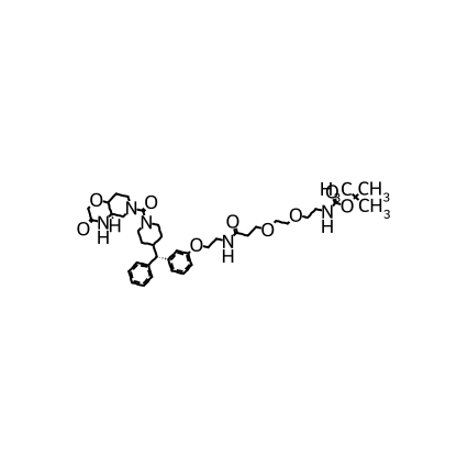 CC(C)(C)OC(=O)NCCOCCOCCC(=O)NCCOc1cccc([C@H](c2ccccc2)C2CCN(C(=O)N3CCC4OCC(=O)N[C@@H]4C3)CC2)c1